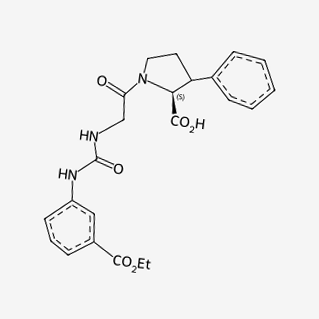 CCOC(=O)c1cccc(NC(=O)NCC(=O)N2CCC(c3ccccc3)[C@H]2C(=O)O)c1